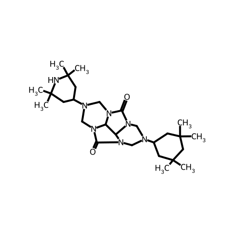 CC1(C)CC(N2CN3C(=O)N4CN(C5CC(C)(C)NC(C)(C)C5)CN5C(=O)N(C2)C3C45)CC(C)(C)C1